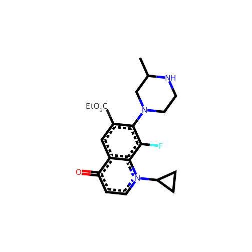 CCOC(=O)c1cc2c(=O)ccn(C3CC3)c2c(F)c1N1CCNC(C)C1